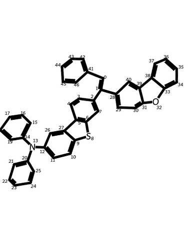 C(=C(/c1ccc2c(c1)sc1ccc(N(c3ccccc3)c3ccccc3)cc12)c1ccc2oc3ccccc3c2c1)/c1ccccc1